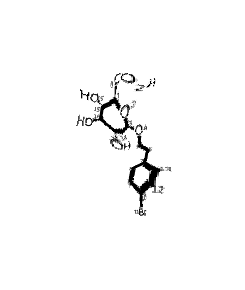 O=C(O)[C@H]1O[C@@H](OCCc2ccc(Br)cc2)[C@H](O)[C@@H](O)[C@@H]1O